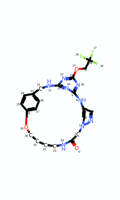 O=C1Cn2cc(cn2)Nc2nc(nc(OCC(F)(F)F)n2)NCc2ccc(cc2)OCCCCN1